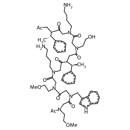 COCCN(CC(=O)N(CC(=O)N(CCOC)CC(=O)N(CCCCN)CC(=O)C(CC(=O)N(CCO)CC(=O)N(CCCCN)CC(=O)C(CC(C)=O)[C@@H](C)c1ccccc1)[C@@H](C)c1ccccc1)Cc1c[nH]c2ccccc12)C(C)=O